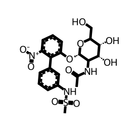 CC(=O)NC1[C@H](Oc2cccc([N+](=O)[O-])c2-c2cccc(NS(C)(=O)=O)c2)OC(CO)[C@H](O)[C@@H]1O